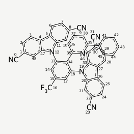 N#Cc1ccc2c3ccc(C#N)cc3n(-c3cc(C(F)(F)F)cc(-n4c5cc(C#N)ccc5c5ccc(C#N)cc54)c3-c3cccc(-c4ccccc4)n3)c2c1